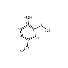 COc1ccc(O)c(CCl)c1